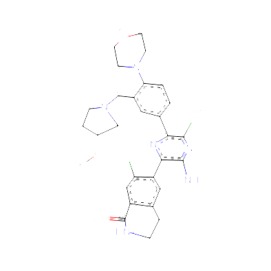 CO[C@@H]1CCN(Cc2cc(-c3nc(-c4cc5c(cc4F)C(=O)NCC5)c(N)nc3F)ccc2N2CCOCC2)C1